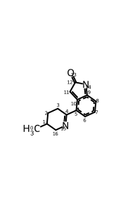 CC1CCC(c2cccc3c2=CC(=O)N=3)=NC1